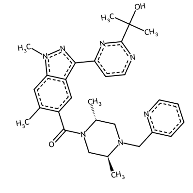 Cc1cc2c(cc1C(=O)N1C[C@H](C)N(Cc3ccccn3)C[C@H]1C)c(-c1ccnc(C(C)(C)O)n1)nn2C